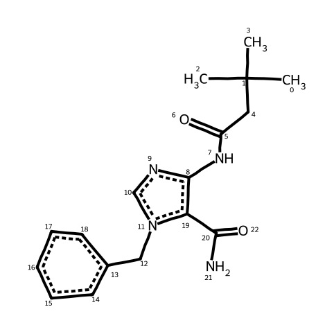 CC(C)(C)CC(=O)Nc1ncn(Cc2ccccc2)c1C(N)=O